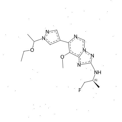 CCOC(C)n1cc(-c2ncn3nc(N[C@@H](C)CF)nc3c2OC)cn1